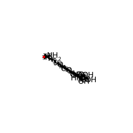 NC(CCCSSCCOCCOCCOCCOCCC(=O)NC1C(O)OC(CO)C(O)C1O)C1CCC1